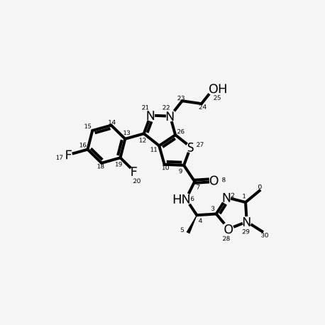 CC1N=C([C@@H](C)NC(=O)c2cc3c(-c4ccc(F)cc4F)nn(CCO)c3s2)ON1C